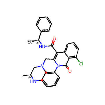 CC[C@H](NC(=O)c1c(CN2CCN[C@@H](C)C2)n(-c2ccccc2)c(=O)c2c(Cl)cccc12)c1ccccc1